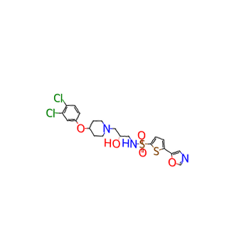 O=S(=O)(NC[C@H](O)CN1CCC(Oc2ccc(Cl)c(Cl)c2)CC1)c1ccc(-c2cnco2)s1